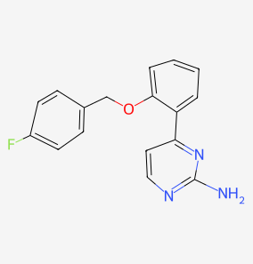 Nc1nccc(-c2ccccc2OCc2ccc(F)cc2)n1